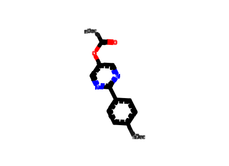 CCCCCCCCCCC(=O)Oc1cnc(-c2ccc(CCCCCCCCCC)cc2)nc1